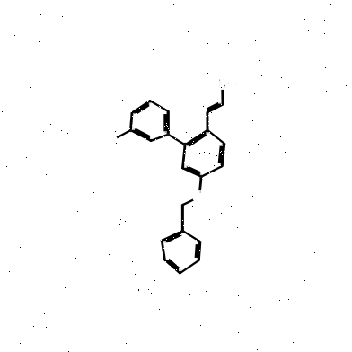 O=[N+]([O-])C=Cc1ccc(OCc2ccccc2)cc1-c1cccc(F)c1